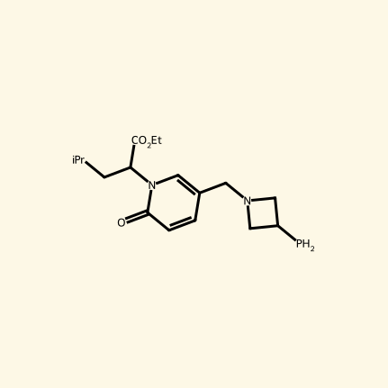 CCOC(=O)C(CC(C)C)n1cc(CN2CC(P)C2)ccc1=O